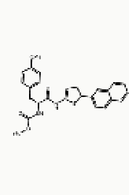 COc1ccc(C[C@H](NC(=O)OC(C)(C)C)C(=O)NC2=CCC(c3ccc4cnccc4c3)S2)cc1